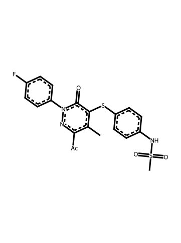 CC(=O)c1nn(-c2ccc(F)cc2)c(=O)c(Sc2ccc(NS(C)(=O)=O)cc2)c1C